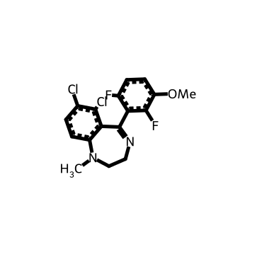 COc1ccc(F)c(C2=NCCN(C)c3ccc(Cl)c(Cl)c32)c1F